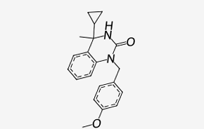 COc1ccc(CN2C(=O)NC(C)(C3CC3)c3ccccc32)cc1